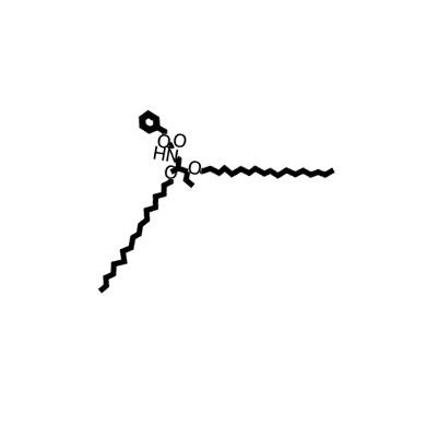 CCCCCCCCCCCCCCCCCCOC(CC)C(CNC(=O)OCc1ccccc1)OCCCCCCCCCCCCCCCCCC